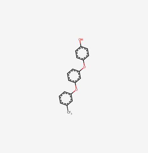 Oc1ccc(Oc2cccc(Oc3cccc(C(F)(F)F)c3)c2)cc1